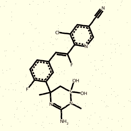 CN1C(N)=NC(C)(c2cc(C=C(F)c3ncc(C#N)cc3Cl)ccc2F)CS1(O)O